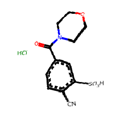 Cl.N#Cc1ccc(C(=O)N2CCOCC2)cc1S(=O)(=O)O